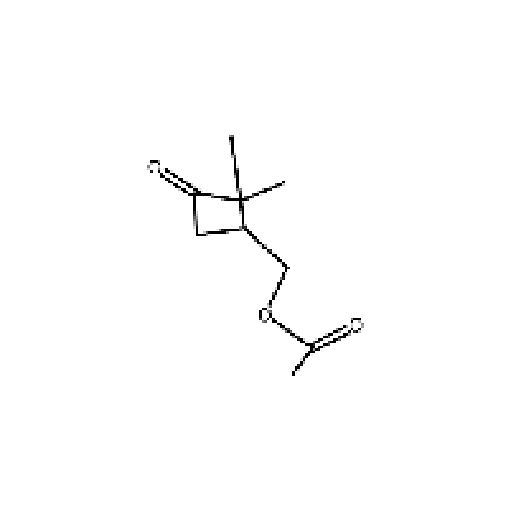 CC(=O)OCC1CC(=O)C1(C)C